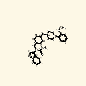 COc1ccccc1N1CCN(CC2CCC(CN(C(N)=O)c3cnn4ccccc34)CC2)CC1